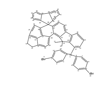 CC(C)(C)c1ccc(N(c2ccc(C(C)(C)C)cc2)c2cccc3c2C(C)(C)c2c-3ccc3c2-c2ccc4c5c(ccc(c25)C32c3ccccc3-c3ccccc32)CC4)cc1